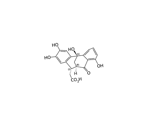 O=C(O)C[C@@H]1c2cc(O)c(O)cc2[C@@]2(O)C[C@H]1C(=O)c1c(O)cccc12